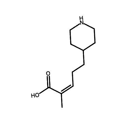 CC(=CCCC1CCNCC1)C(=O)O